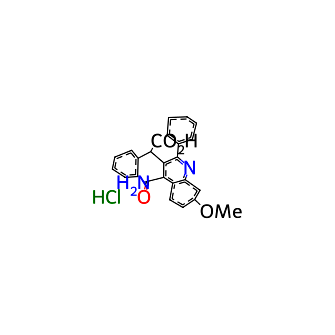 COc1ccc2c(C(N)=O)c(C(C(=O)O)c3ccccc3)c(-c3ccccc3)nc2c1.Cl